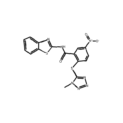 Cn1nnnc1Sc1ccc([N+](=O)[O-])cc1C(=O)Nc1nc2ccccc2s1